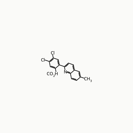 Cc1ccc2nc(-c3cc(Cl)c(Cl)cc3C(=O)O)ccc2c1